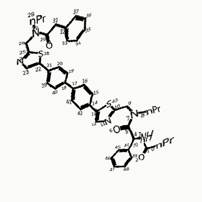 CCCC(=O)N[C@H](C(=O)N(CCC)Cc1ncc(-c2ccc(-c3ccc(-c4cnc(CN(CCC)C(=O)Cc5ccccc5)s4)cc3)cc2)s1)c1ccccc1